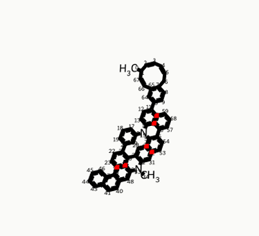 CC1/C=C\C=C/Cc2ccc(-c3ccc(N(c4cccc(-c5ccccc5-c5ccccc5N(C)c5ccc6c(ccc7ccccc76)c5)c4)c4ccccc4-c4ccccc4)cc3)cc2/C=C\1